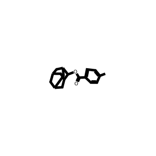 Cc1ccc(C(=O)OC2C3CC4CC(C3)CC2C4)cc1